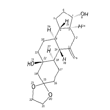 C=C1C[C@H]2[C@@H](CC[C@@H]2O)[C@@H]2CC[C@@]3(O)CC4(CC[C@@H]3[C@@H]12)OCCO4